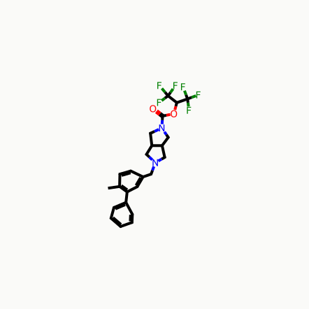 Cc1ccc(CN2CC3CN(C(=O)OC(C(F)(F)F)C(F)(F)F)CC3C2)cc1-c1ccccc1